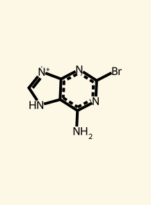 Nc1nc(Br)nc2c1NC=[N+]2